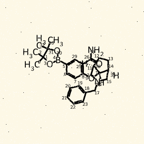 CC1(C)OB(c2ccc(O[C@@H]3[C@@H]4CC[C@H]3CN(Cc3ccccc3)C4)c(C(N)=O)c2)OC1(C)C